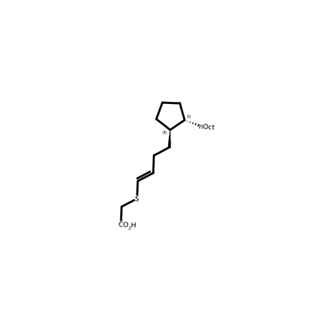 CCCCCCCC[C@H]1CCC[C@@H]1CCC=CSCC(=O)O